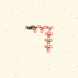 [Nb+5].[Nb+5].[O]=[Ti]([O-])[O-].[O]=[Zr]([O-])[O-].[O]=[Zr]([O-])[O-].[O]=[Zr]([O-])[O-].[O]=[Zr]([O-])[O-].[O]=[Zr]([O-])[O-].[Pb+2]